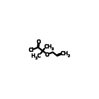 C=CCOC(C)(C)C(=O)Cl